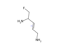 NC/C=C/C(N)CF